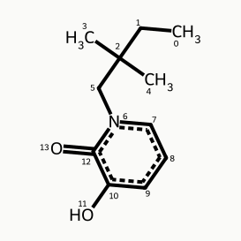 CCC(C)(C)Cn1cccc(O)c1=O